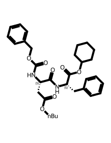 CCCCOC(=O)C[C@H](NC(=O)OCc1ccccc1)C(=O)N[C@@H](Cc1ccccc1)C(=O)OC1CCCCC1